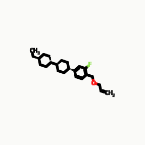 C=CCOCc1ccc([C@H]2CC[C@H]([C@H]3CC[C@H](CC)CC3)CC2)cc1F